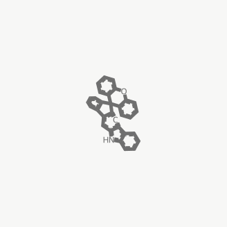 c1ccc2c(c1)Oc1ccccc1C21c2ccccc2-c2cc3[nH]c4ccccc4c3cc21